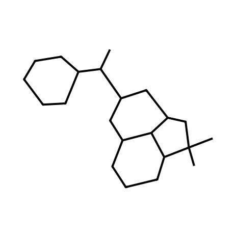 CC(C1CCCCC1)C1CC2CCCC3C2C(C1)CC3(C)C